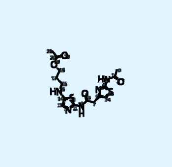 CC(=O)Nc1nc(CC(=O)Nc2ncc(NCCCOC(C)=O)s2)cs1